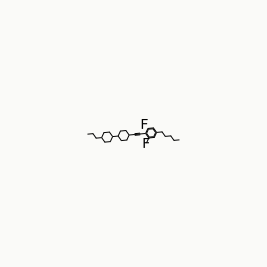 CCCCCc1cc(F)c(C#CC2CCC(C3CCC(CCC)CC3)CC2)c(F)c1